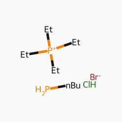 CCCCP.CC[P+](CC)(CC)CC.Cl.[Br-]